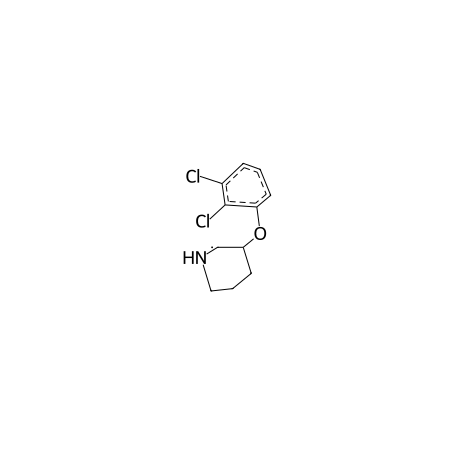 Clc1cccc(OC2[CH]NCCC2)c1Cl